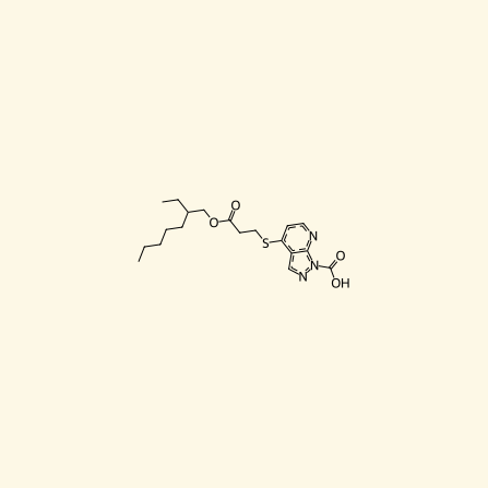 CCCCCC(CC)COC(=O)CCSc1ccnc2c1cnn2C(=O)O